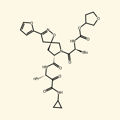 CCC[C@H](NC(=O)[C@@H]1C[C@]2(CC(c3ccco3)=NO2)CN1C(=O)[C@@H](NC(=O)OC1CCOC1)C(C)(C)C)C(=O)C(=O)NC1CC1